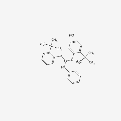 C[Si](C)(C)c1ccccc1[O][Cr]([O]c1ccccc1[Si](C)(C)C)[PH]c1ccccc1.Cl